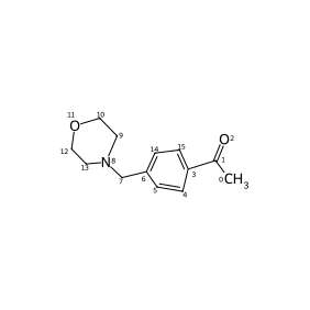 CC(=O)c1ccc(CN2CCOCC2)cc1